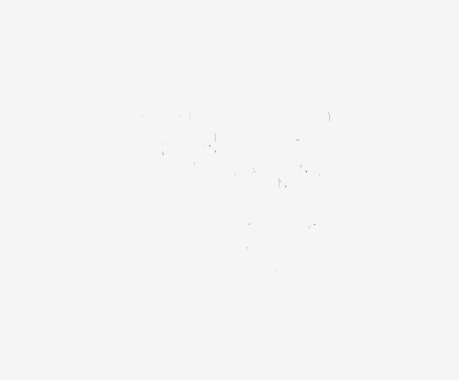 Cc1cc(ONC(=O)C(C)(C)C)n(-c2ccccc2)n1